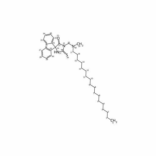 CCCCCCCCCCCCCCCCCCN(C)CN1C(=O)C(c2ccccc2)(c2ccccc2)NC1=S